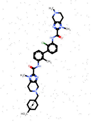 Cc1c(NC(=O)c2nc3c(n2C)CCN(CC24CCC(C(=O)O)(CC2)CC4)C3)cccc1-c1cccc(NC(=O)c2nc3c(n2C)CCN(C)C3)c1Cl